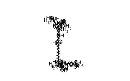 CCn1c(-c2nonc2N)nc2c(C#CC(C)(C)O)ncc(OCCCNCCCC(=O)NCCCCCCCCCCC(=O)NC(C(=O)N3C[C@H](O)C[C@H]3C(=O)NCc3ccc(-c4scnc4C)cc3)C(C)(C)C)c21